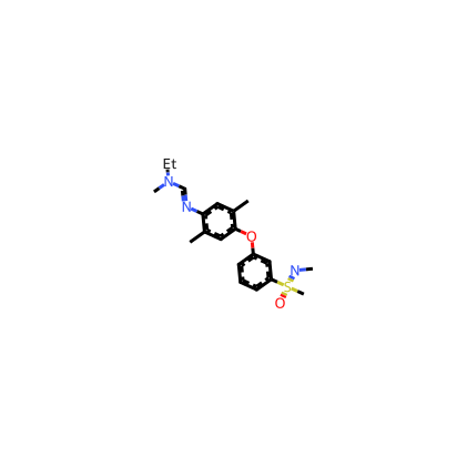 CCN(C)/C=N/c1cc(C)c(Oc2cccc(S(C)(=O)=NC)c2)cc1C